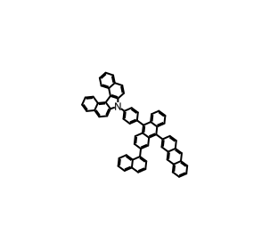 c1ccc2cc3cc(-c4c5ccccc5c(-c5ccc(-n6c7ccc8ccccc8c7c7c8ccccc8ccc76)cc5)c5ccc(-c6cccc7ccccc67)cc45)ccc3cc2c1